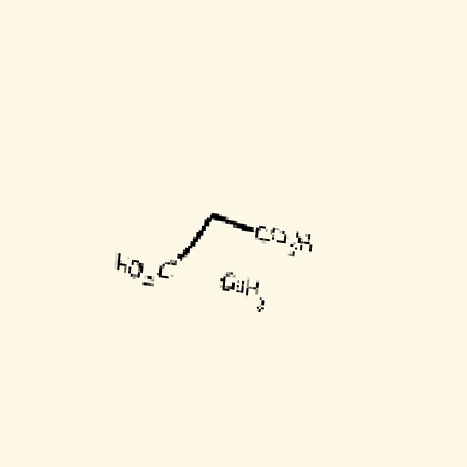 O=C(O)CC(=O)O.[GaH3]